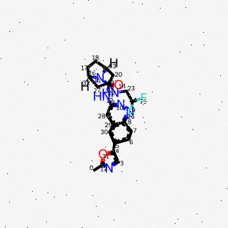 Cc1ncc(-c2ccc3nnc(NC(=O)N4[C@@H]5CC[C@H]4C[C@@H](NCC(F)F)C5)cc3c2)o1